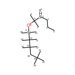 CCC[SiH](C)C(C)(C)O[Si](C)(C)C(C)(C)C(C)(C)CC(C)(C)C